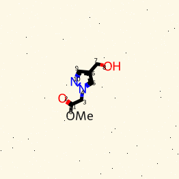 COC(=O)Cn1cc(CO)cn1